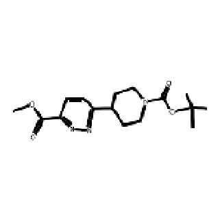 COC(=O)c1ccc(C2CCN(C(=O)OC(C)(C)C)CC2)nn1